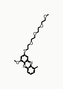 COCCOCCOCCOCCSc1cc(OC)c2nc3cccc(C)c3nc2c1